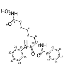 O=C(CCCCC[C@@H](NC(=O)c1ccccc1)C(=O)Nc1ccccc1)NO